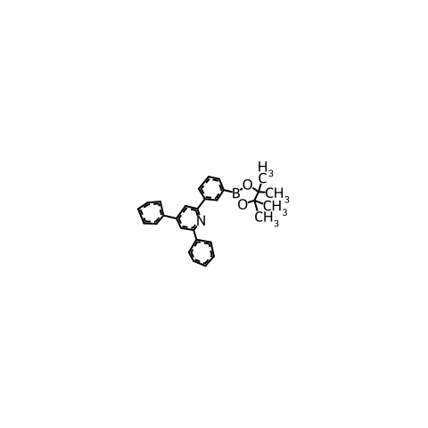 CC1(C)OB(c2cccc(-c3cc(-c4ccccc4)cc(-c4ccccc4)n3)c2)OC1(C)C